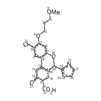 COCCCOc1cc2c(cc1Cl)-c1cc(=O)c(C(=O)O)cn1C(c1nccs1)O2